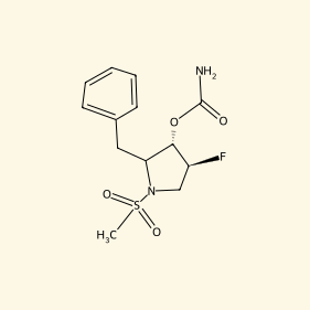 CS(=O)(=O)N1C[C@H](F)[C@@H](OC(N)=O)C1Cc1ccccc1